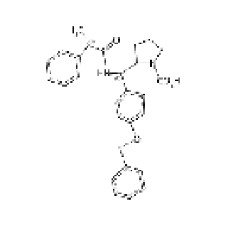 C[C@H](C(=O)N[C@H](c1ccc(OCc2ccccc2)cc1)C1CCCN1C(=O)O)c1ccccc1